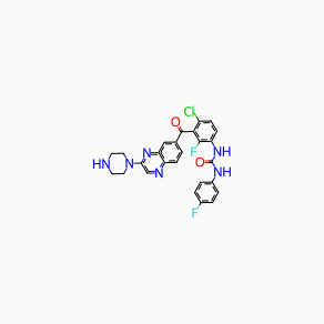 O=C(Nc1ccc(F)cc1)Nc1ccc(Cl)c(C(=O)c2ccc3ncc(N4CCNCC4)nc3c2)c1F